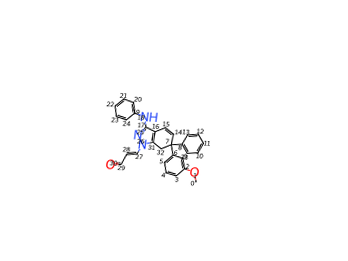 COc1cccc(C2(c3ccccc3)C=Cc3c(Nc4ccccc4)nn(C=CC=O)c3C2)c1